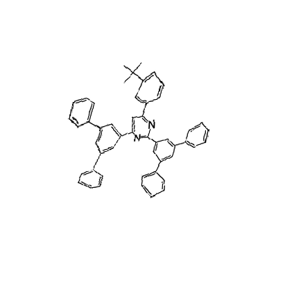 CC(C)(C)c1cccc(-c2cc(-c3cc(-c4ccccc4)cc(-c4ccccc4)c3)nc(-c3cc(-c4ccccc4)cc(-c4ccccc4)c3)n2)c1